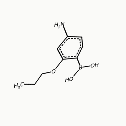 CCCOc1cc(N)ccc1B(O)O